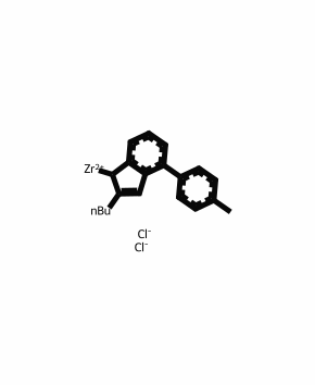 CCCCC1=Cc2c(-c3ccc(C)cc3)cccc2[CH]1[Zr+2].[Cl-].[Cl-]